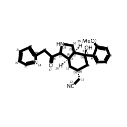 COc1ccccc1[C@]1(O)C[C@H](CC#N)C[C@H]2C(C(=O)Cc3ccccn3)NC[C@H]21